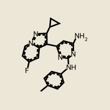 Cc1ccc(Nc2nc(N)cc(-c3c(C4CC4)nn4ccc(F)cc34)n2)cc1